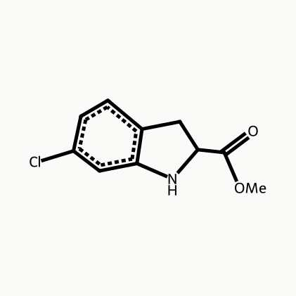 COC(=O)C1Cc2ccc(Cl)cc2N1